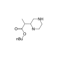 CCCCOC(=O)C(C)C1CNCC[N]1